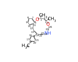 C/C1=C/C(C)Oc2ccccc2C/C=C(c2ccc(C)cc2)\C=C/NCCO1